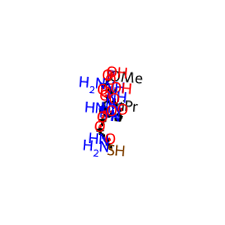 COP(=O)(O)O[C@H](C)[C@H](NC(=O)[C@H](CO)NC(=O)[C@H](Cc1cnc[nH]1)NC(=O)[C@H](CC(C)C)NC(=O)[C@@H]1CCCN1C(=O)CCOC(C)(C)COC(C)(C)CCNC(=O)[C@@H](N)CS)C(N)=O